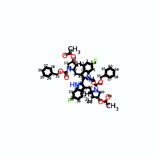 [2H]c1cc(F)cc2c1c(CC1CC(OC(C)=O)CN1C(=O)OCc1ccccc1)c(-c1[nH]c3cc(F)ccc3c1CC1([2H])C([2H])C(OC(C)=O)CN1C(=O)OCc1ccccc1)n2[2H]